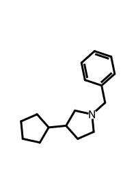 c1ccc(CN2CCC(C3CCCC3)C2)cc1